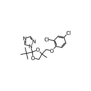 CC1(COc2ccc(Cl)cc2Cl)COC(n2cncn2)(C(C)(C)C)O1